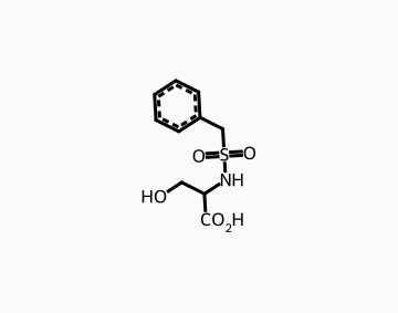 O=C(O)C(CO)NS(=O)(=O)Cc1ccccc1